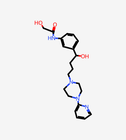 O=C(CO)Nc1cccc(C(O)CCCN2CCN(c3ccccn3)CC2)c1